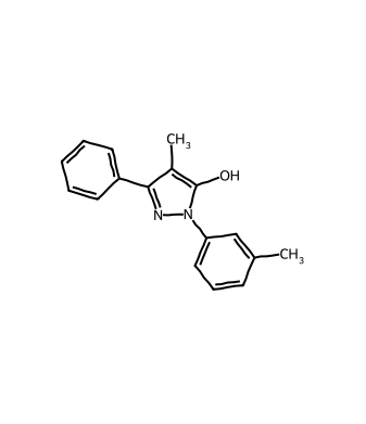 Cc1cccc(-n2nc(-c3ccccc3)c(C)c2O)c1